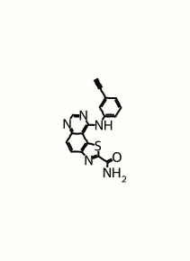 C#Cc1cccc(Nc2ncnc3ccc4nc(C(N)=O)sc4c23)c1